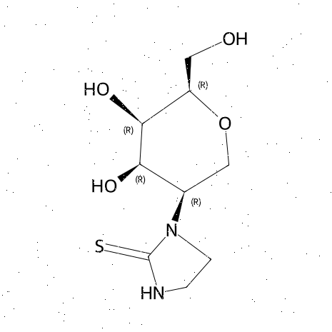 OC[C@H]1OC[C@@H](N2CCNC2=S)[C@@H](O)[C@H]1O